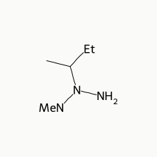 CCC(C)N(N)NC